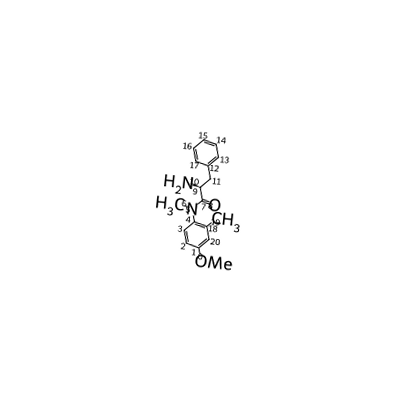 COc1ccc(N(C)C(=O)[C@@H](N)Cc2ccccc2)c(C)c1